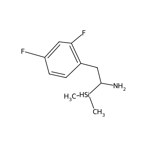 C[SiH](C)C(N)Cc1ccc(F)cc1F